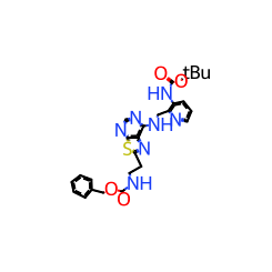 CC(C)(C)OC(=O)Nc1cccnc1CNc1ncnc2sc(CCNC(=O)OCc3ccccc3)nc12